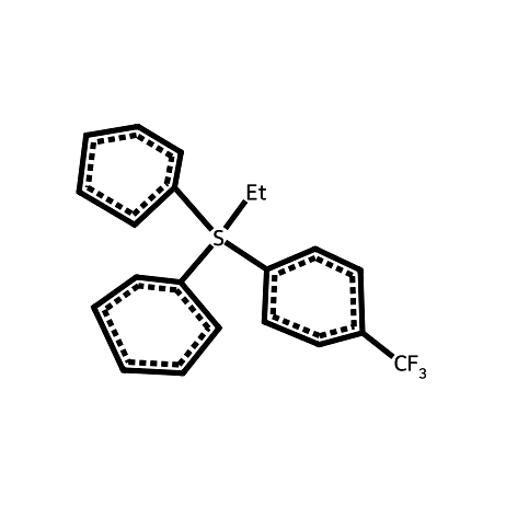 CCS(c1ccccc1)(c1ccccc1)c1ccc(C(F)(F)F)cc1